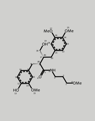 COCCCNC(=O)[C@H](Cc1ccc(O)c(OC)c1)[C@H](CO)Cc1ccc(OC)c(OC)c1